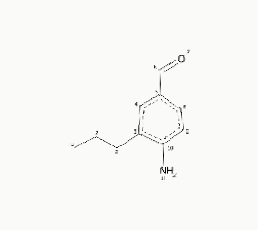 CCCc1cc(C=O)ccc1N